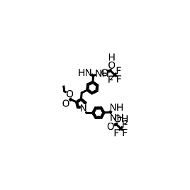 CCOC(=O)c1cn(Cc2ccc(C(=N)N)cc2)cc1Cc1cccc(C(=N)N)c1.O=C(O)C(F)(F)F.O=C(O)C(F)(F)F